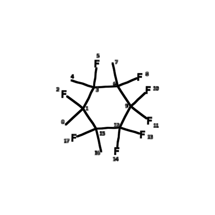 CC1(F)C(C)(F)C(C)(F)C(F)(F)C(F)(F)C1(C)F